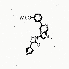 COc1cccc(-c2cn3c(NC(=O)Cc4ccsc4)cnc3cn2)c1